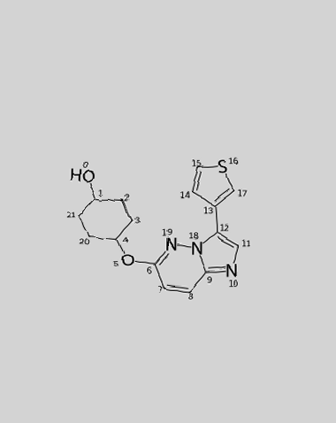 OC1CCC(Oc2ccc3ncc(-c4ccsc4)n3n2)CC1